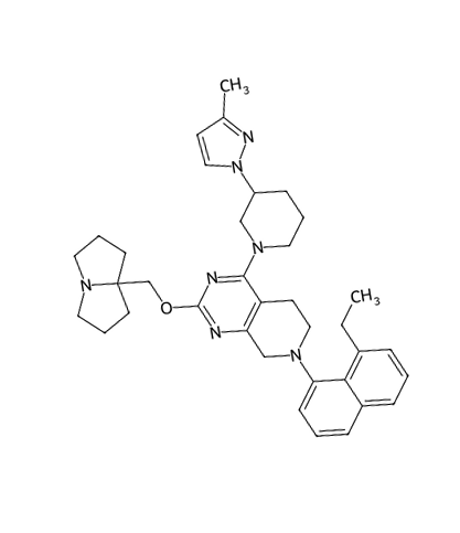 CCc1cccc2cccc(N3CCc4c(nc(OCC56CCCN5CCC6)nc4N4CCCC(n5ccc(C)n5)C4)C3)c12